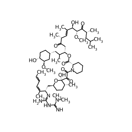 C/C=C/C=C(/C)[C@H](C[C@@H]1CC[C@@H](C)[C@](O)(C(=O)C(=O)N2CCCC[C@H]2C(=O)O[C@@H](CC(=O)[C@H](C)/C=C(\C)[C@@H](O)[C@@H](OC)C(=O)[C@H](C)CC(C)C)C(C)C[C@H]2CC[C@@H](O)[C@H](OC)C2)O1)/N=C(\N)NC(=N)N(C)C